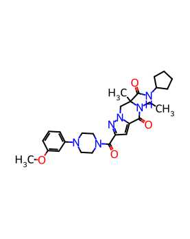 CCN1C(=O)c2cc(C(=O)N3CCN(c4cccc(OC)c4)CC3)nn2CC1(C)C(=O)NC1CCCC1